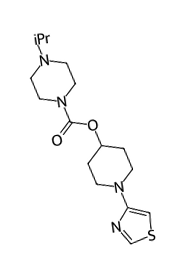 CC(C)N1CCN(C(=O)OC2CCN(c3cscn3)CC2)CC1